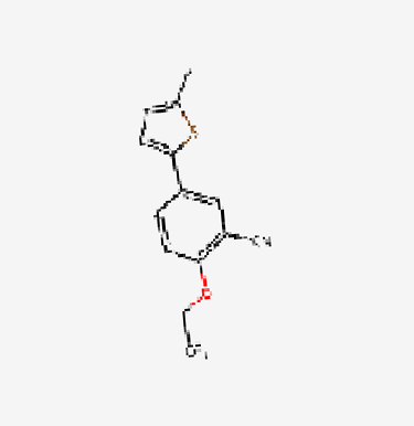 Cc1ccc(-c2ccc(OCC(F)(F)F)c(C#N)c2)s1